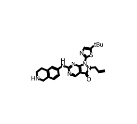 C=CCn1c(=O)c2cnc(Nc3ccc4c(c3)CCNC4)nc2n1-c1ncc(C(C)(C)C)s1